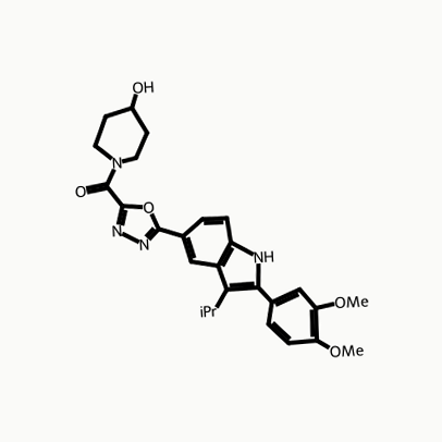 COc1ccc(-c2[nH]c3ccc(-c4nnc(C(=O)N5CCC(O)CC5)o4)cc3c2C(C)C)cc1OC